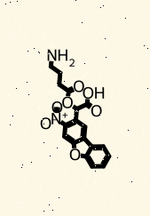 NCCCC(=O)OC(C(=O)O)c1cc2c(cc1[N+](=O)[O-])oc1ccccc12